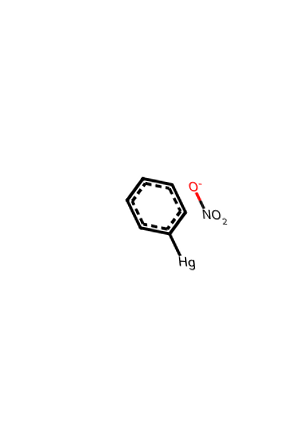 O=[N+]([O-])[O-].[Hg][c]1ccccc1